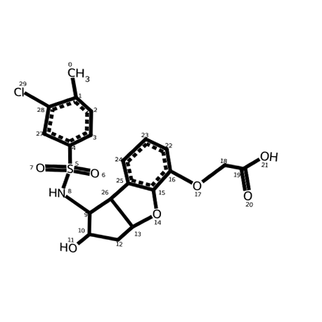 Cc1ccc(S(=O)(=O)NC2C(O)CC3Oc4c(OCC(=O)O)cccc4C32)cc1Cl